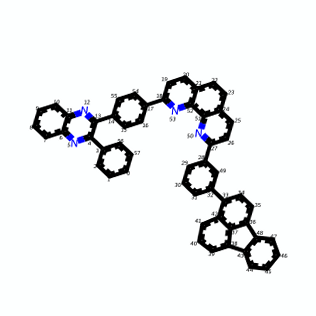 c1ccc(-c2nc3ccccc3nc2-c2ccc(-c3ccc4ccc5ccc(-c6cccc(-c7ccc8c9c(cccc79)-c7ccccc7-8)c6)nc5c4n3)cc2)cc1